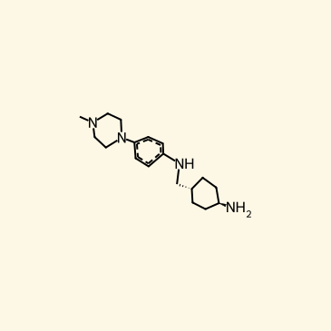 CN1CCN(c2ccc(NC[C@H]3CC[C@H](N)CC3)cc2)CC1